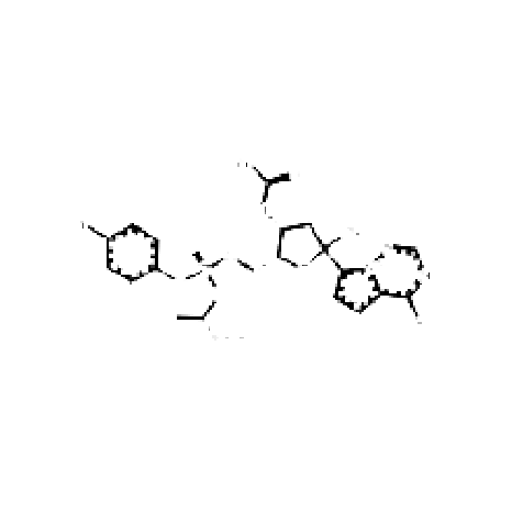 CCOC(=O)[C@H](C)NP(=O)(OC[C@H]1OC(C#N)(c2ccc3c(N)ncnn23)C[C@@H]1OC(=O)C(C)C)Oc1ccc(C(C)C)cc1